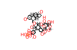 C=C1C[C@@H]2[C@H](CC[C@]3(C)C(=O)CC[C@@H]23)[C@@]2(C)C=CC(=O)C=C12.COc1cc([C@@H]2c3cc4c(cc3[C@@H](O[C@@H]3O[C@@H]5CO[C@@H](C)O[C@H]5[C@H](O)[C@H]3O)[C@H]3COC(=O)[C@H]23)OCO4)cc(OC)c1OP(=O)(O)O